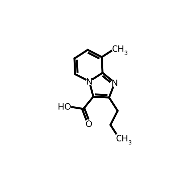 CCCc1nc2c(C)cccn2c1C(=O)O